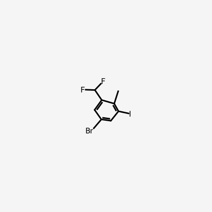 Cc1c(I)cc(Br)cc1C(F)F